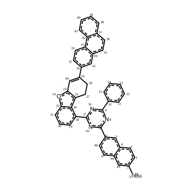 CCCCc1ccc2cc(-c3nc(-c4ccccc4)nc(-c4cccc5oc6c(c45)CCC(c4ccc5c(ccc7ccccc75)c4)=C6)n3)ccc2c1